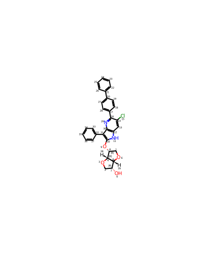 O[C@@H]1CO[C@H]2[C@@H]1OC[C@H]2Oc1[nH]c2cc(Cl)c(-c3ccc(-c4ccccc4)cc3)nc2c1-c1ccccc1